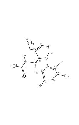 CC(C(=O)O)[C@@H](Cc1cc(F)c(F)cc1F)c1ccccc1CN